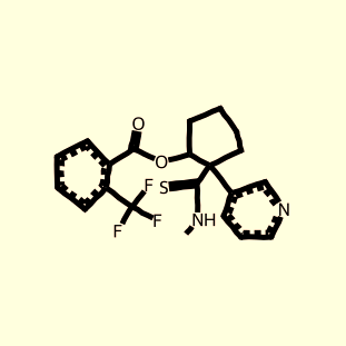 CNC(=S)C1(c2cccnc2)CCCCC1OC(=O)c1ccccc1C(F)(F)F